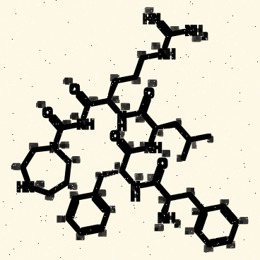 CC(C)C[C@@H](NC(=O)[C@@H](Cc1ccccc1)NC(=O)[C@H](N)Cc1ccccc1)C(=O)N[C@H](CCCNC(=N)N)C(=O)NC(=O)N1CCCNCC1